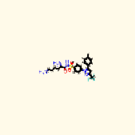 Cc1ccc(-c2cc(C(F)(F)F)nn2-c2ccc(S(=O)(=O)NC(=O)C(N)CCCCN)cc2)cc1